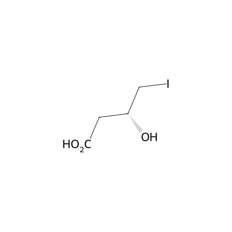 O=C(O)C[C@@H](O)CI